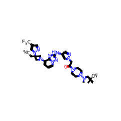 CN(CC(C)(C)C#N)N1CCN(C(=O)Cn2cc(Nc3nc4c(N5CC(CC#N)(n6cc(C(F)(F)F)cn6)C5)cccn4n3)cn2)CC1